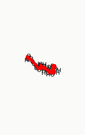 COc1cccc2c1C(=O)c1c(O)c3c(c(O)c1C2=O)C[C@@](O)(C(=O)CO)C[C@@H]3O[C@H]1C[C@H](NC(=O)OCc2ccc(NC(=O)[C@@H](CC(N)=O)NC(=O)[C@@H](C)NC(=O)[C@@H](C)NC(=O)CCOCCOCCOCCNC(=O)CCN3C(=O)C=CC3=O)cc2)[C@H](O)[C@H](C)O1